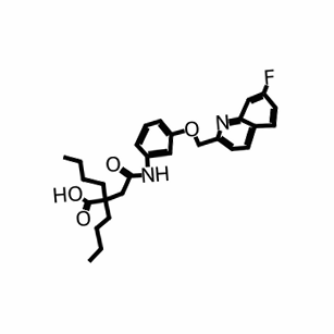 CCCCC(CCCC)(CC(=O)Nc1cccc(OCc2ccc3ccc(F)cc3n2)c1)C(=O)O